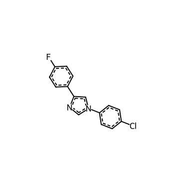 Fc1ccc(-c2cn(-c3ccc(Cl)cc3)cn2)cc1